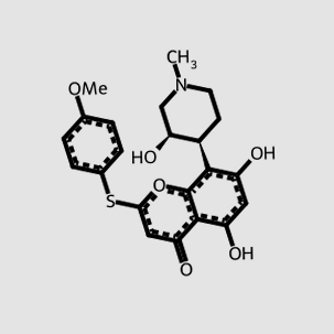 COc1ccc(Sc2cc(=O)c3c(O)cc(O)c([C@@H]4CCN(C)C[C@@H]4O)c3o2)cc1